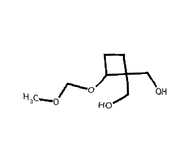 COCOC1CCC1(CO)CO